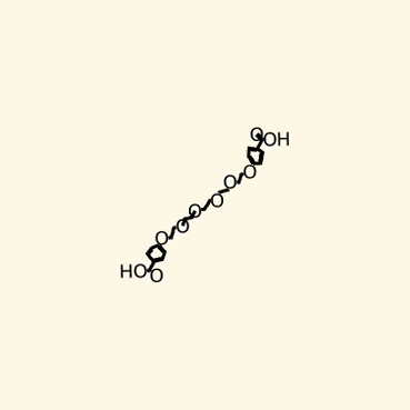 O=C(O)c1ccc(OCCOCCOCCOCCOCCOc2ccc(C(=O)O)cc2)cc1